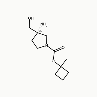 CC1(OC(=O)N2CC[C@@](N)(CO)C2)CCC1